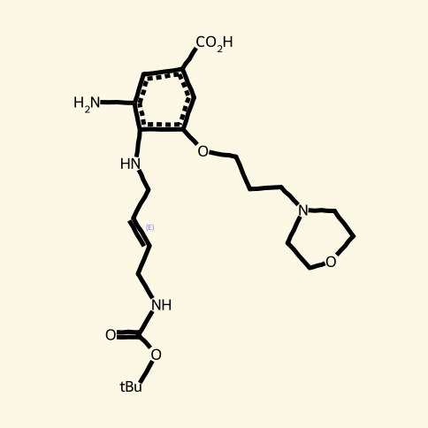 CC(C)(C)OC(=O)NC/C=C/CNc1c(N)cc(C(=O)O)cc1OCCCN1CCOCC1